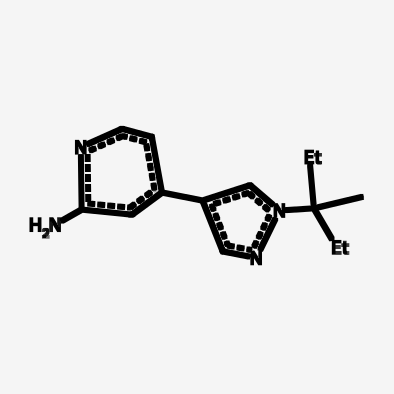 CCC(C)(CC)n1cc(-c2ccnc(N)c2)cn1